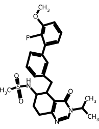 COc1cccc(-c2cccc(CC3c4c(ncn(C(C)C)c4=O)CCC3NS(C)(=O)=O)c2)c1F